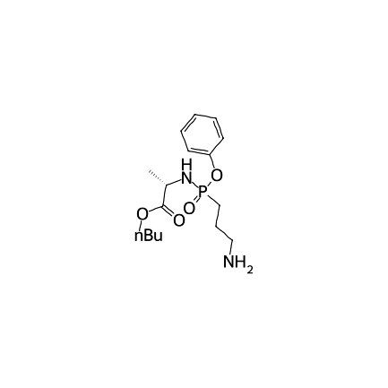 CCCCOC(=O)[C@H](C)NP(=O)(CCCN)Oc1ccccc1